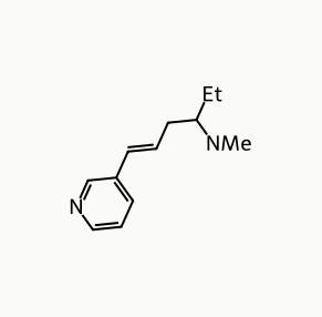 CCC(CC=Cc1cccnc1)NC